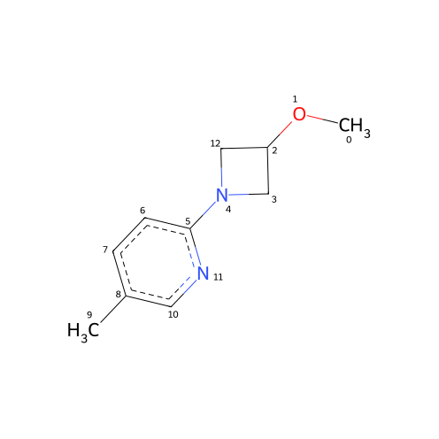 COC1CN(c2ccc(C)cn2)C1